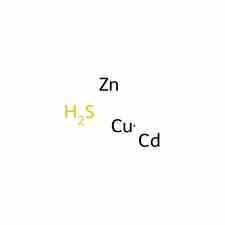 S.[Cd].[Cu].[Zn]